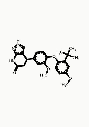 COc1ccc(Oc2ccc(C3CC(=O)Nc4n[nH]cc43)cc2OC)c(C(C)(C)C)c1